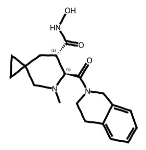 CN1CC2(CC2)C[C@H](C(=O)NO)[C@H]1C(=O)N1CCc2ccccc2C1